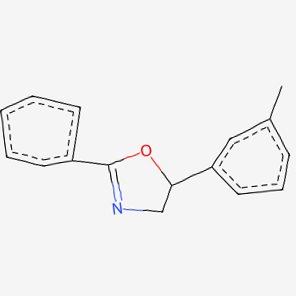 Cc1cccc(C2CN=C(c3ccccc3)O2)c1